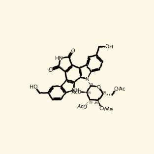 CO[C@H]1[C@H](OC(C)=O)[C@@H](OC(C)=O)[C@H](n2c3ccc(CO)cc3c3c4c(c5c6cc(CO)ccc6[nH]c5c32)C(=O)NC4=O)O[C@@H]1COC(C)=O